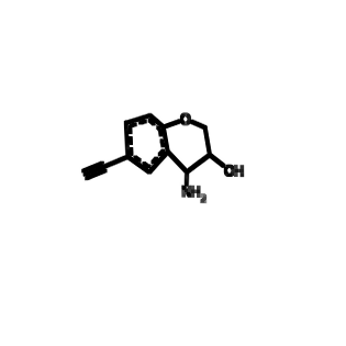 C#Cc1ccc2c(c1)C(N)C(O)CO2